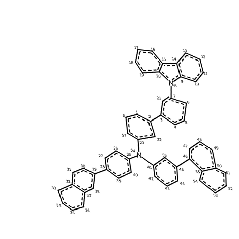 c1cc(-c2cccc(-n3c4ccccc4c4ccccc43)c2)cc(N(c2ccc(-c3ccc4ccccc4c3)cc2)c2cccc(-c3cccc4ccccc34)c2)c1